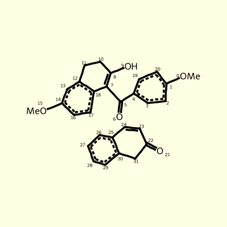 COc1ccc(C(=O)C2=C(O)CCc3cc(OC)ccc32)cc1.O=C1C=Cc2ccccc2C1